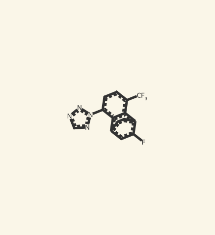 Fc1cc2ccc1c1c(C(F)(F)F)[c]cc(-n3ncnn3)c21